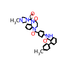 Cc1ccc(-c2ccccc2C(=O)Nc2ccc(C(=O)N3CCC(=O)N(C(=C=O)N4CCN(C)CC4)c4ccccc43)cc2)cc1